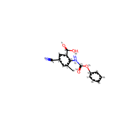 Cc1cc(C#N)cc(C(=O)O)c1NC(=O)Oc1ccccc1